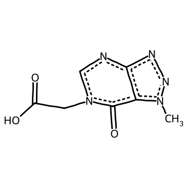 Cn1nnc2ncn(CC(=O)O)c(=O)c21